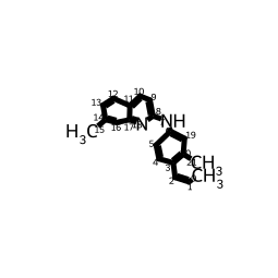 C/C=C\c1ccc(Nc2ccc3ccc(C)cc3n2)cc1C